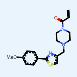 C=CC(=O)N1CCN(Cc2csc(-c3ccc(OC)cc3)n2)CC1